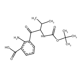 CC(C)C(NC(=O)OC(C)(C)C)C(=O)c1cccc(C(=O)O)c1N